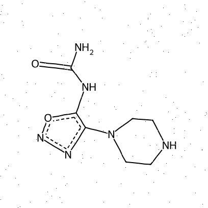 NC(=O)Nc1onnc1N1CCNCC1